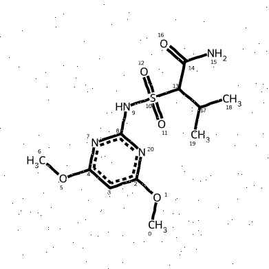 COc1cc(OC)nc(NS(=O)(=O)C(C(N)=O)C(C)C)n1